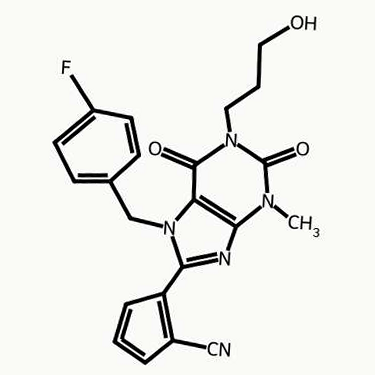 Cn1c(=O)n(CCCO)c(=O)c2c1nc(C1=C(C#N)C=C=C1)n2Cc1ccc(F)cc1